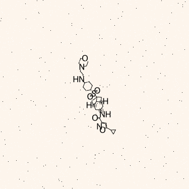 O=C(N[C@@H]1C[C@@H]2CC3(S(=O)(=O)[C@H]4CC[C@H](NCCN5CCOCC5)CC4)C[C@H](C1)C23)c1cc(C2CC2)on1